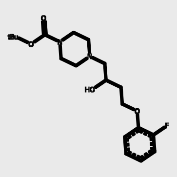 CC(C)(C)OC(=O)N1CCN(CC(O)CCOc2ccccc2F)CC1